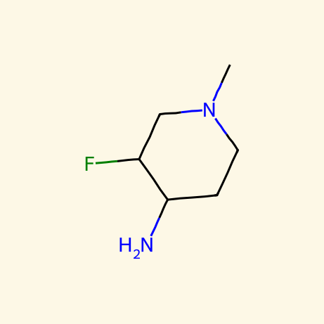 CN1CCC(N)C(F)C1